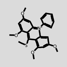 COc1cc(OC)c2c(SC)c3c(OC)cc(OC)cc3[n+](-c3ccccc3)c2c1